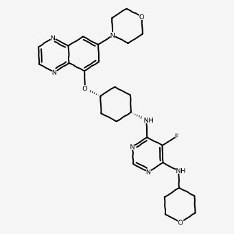 Fc1c(NC2CCOCC2)ncnc1N[C@H]1CC[C@@H](Oc2cc(N3CCOCC3)cc3nccnc23)CC1